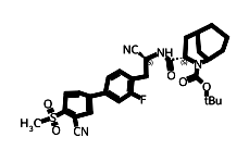 CC(C)(C)OC(=O)N1C2CCCC(C2)C[C@H]1C(=O)N[C@H](C#N)Cc1ccc(-c2ccc(S(C)(=O)=O)c(C#N)c2)cc1F